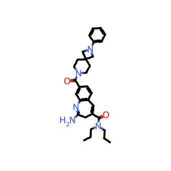 CCCN(CCC)C(=O)C1=Cc2ccc(C(=O)N3CCC4(CC3)CN(c3ccccc3)C4)cc2N=C(N)C1